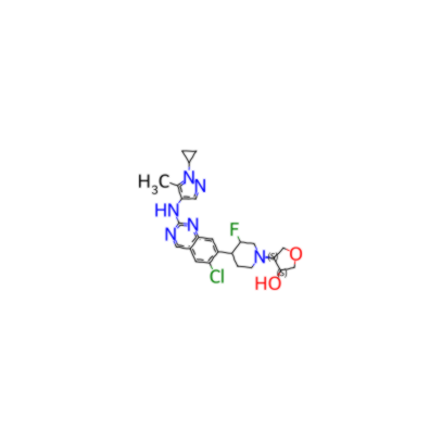 Cc1c(Nc2ncc3cc(Cl)c(C4CCN([C@H]5COC[C@H]5O)CC4F)cc3n2)cnn1C1CC1